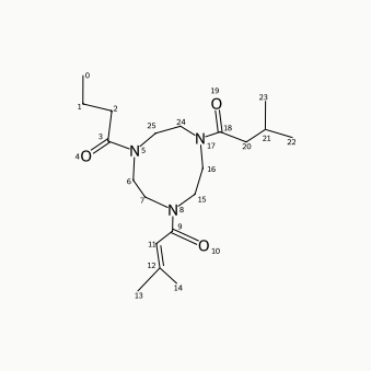 CCCC(=O)N1CCN(C(=O)C=C(C)C)CCN(C(=O)CC(C)C)CC1